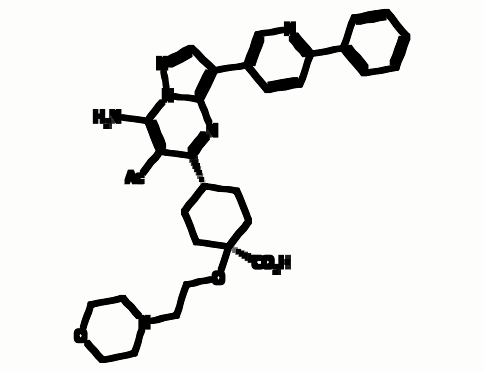 CC(=O)c1c(N)n2ncc(-c3ccc(-c4ccccc4)nc3)c2nc1[C@H]1CC[C@@](OCCN2CCOCC2)(C(=O)O)CC1